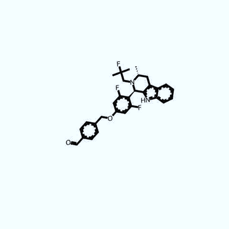 C[C@@H]1Cc2c([nH]c3ccccc23)[C@@H](c2c(F)cc(OCc3ccc(C=O)cc3)cc2F)N1CC(C)(C)F